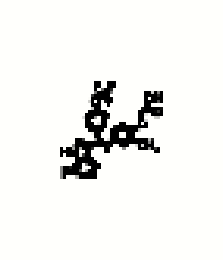 Cc1cc(SC(c2ccc(OC(F)(F)F)cc2)c2n[nH]c3c(F)cccc23)ccc1OCC(=O)O